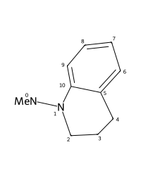 CNN1CCCc2ccccc21